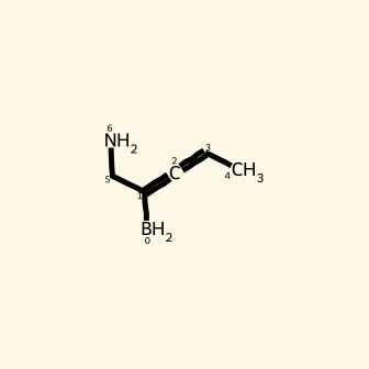 BC(=C=CC)CN